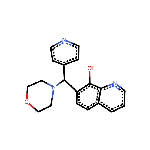 Oc1c(C(c2ccncc2)N2CCOCC2)ccc2cccnc12